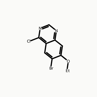 CCOc1cc2ncnc(Cl)c2cc1Br